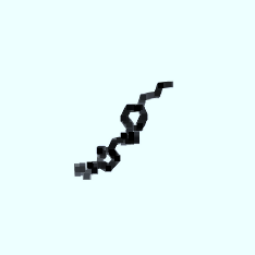 CCCCc1ccc(NCc2ccc(N)s2)cc1